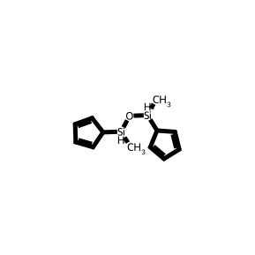 C[SiH](O[SiH](C)C1C=CC=C1)C1C=CC=C1